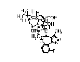 CC1=C[C@]23C(O)[C@@H](C=C(CO)[C@@H](O)[C@]2(O)[C@H]1OC(=O)c1c(-c2c(F)cccc2Cl)noc1C)[C@H]1[C@@H](C[C@H]3C)C1(C)C